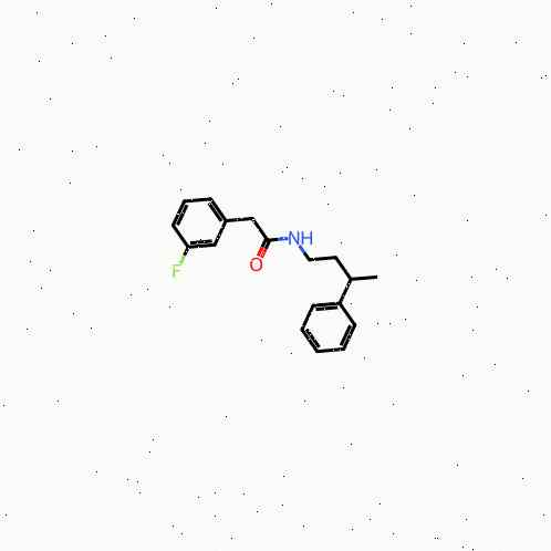 CC(CCNC(=O)Cc1cccc(F)c1)c1ccccc1